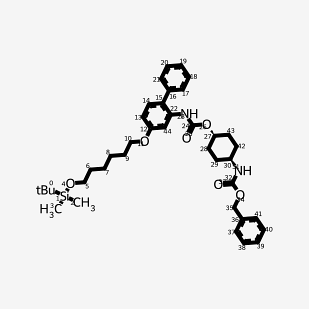 CC(C)(C)[Si](C)(C)OCCCCCCOc1ccc(-c2ccccc2)c(NC(=O)O[C@H]2CC[C@H](NC(=O)OCc3ccccc3)CC2)c1